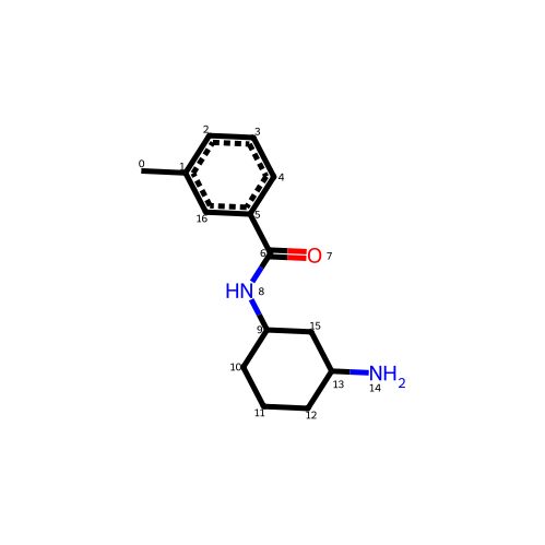 Cc1cccc(C(=O)NC2CCCC(N)C2)c1